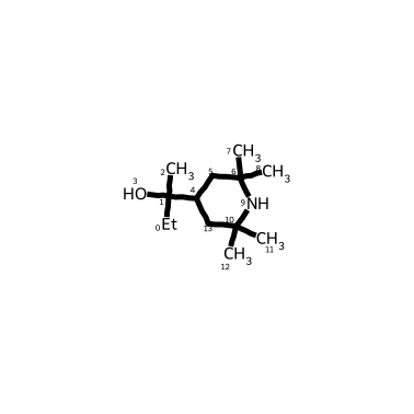 [CH2]CC(C)(O)C1CC(C)(C)NC(C)(C)C1